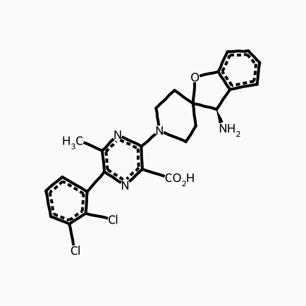 Cc1nc(N2CCC3(CC2)Oc2ccccc2[C@H]3N)c(C(=O)O)nc1-c1cccc(Cl)c1Cl